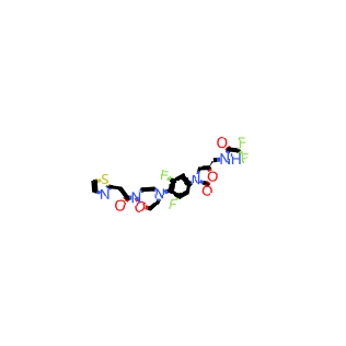 O=C(NC[C@H]1CN(c2cc(F)c(N3CCON(C(=O)Cc4nccs4)CC3)c(F)c2)C(=O)O1)C(F)F